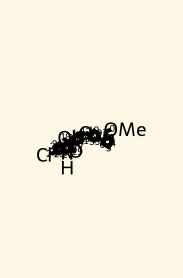 COCc1ccccc1-c1ccc(Oc2ccc(-c3c(O)c4ccc(Cl)cc4[nH]c3=O)cc2)cc1